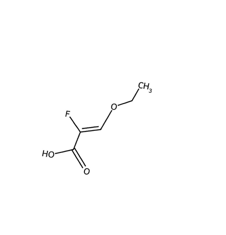 CCO/C=C(\F)C(=O)O